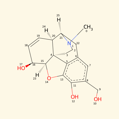 CN1CC[C@]23c4c5cc(CO)c(O)c4O[C@H]2[C@@H](O)C=C[C@H]3[C@H]1C5